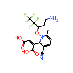 CC1=CC=C(C#N)C(/C(=C/C(=O)O)C(=O)O)N1OC(CCN)C(F)(F)C(F)(F)F